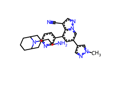 Cn1cc(-c2cc(-c3ccc(N4C5CCCC4CC(CCN)C5)nc3)c3c(C#N)cnn3c2)cn1